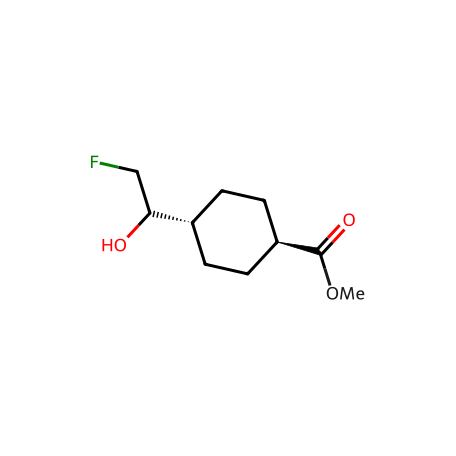 COC(=O)[C@H]1CC[C@H](C(O)CF)CC1